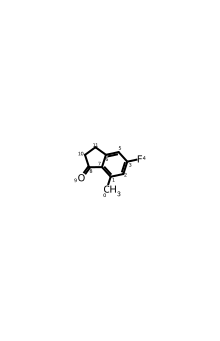 Cc1cc(F)cc2c1C(=O)CC2